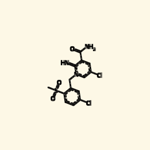 CS(=O)(=O)c1ccc(Cl)cc1Cn1cc(Cl)cc(C(N)=O)c1=N